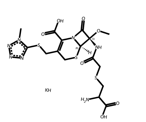 CO[C@@]1(NC(=O)CSCC(N)C(=O)O)C(=O)N2C(C(=O)O)=C(CSc3nnnn3C)CS[C@@H]21.[KH]